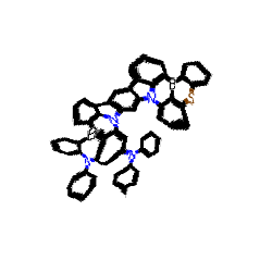 c1ccc(N(c2ccccc2)c2cc3c4c(c2)-n2c5cc6c(cc5c5cccc(c52)B4c2ccccc2N3c2ccccc2)c2cccc3c2n6-c2cccc4c2B3c2ccccc2S4)cc1